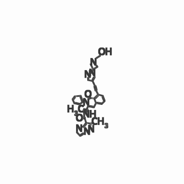 Cc1nn2cccnc2c1C(=O)N[C@@H](C)c1cc2cccc(C#Cc3cnn(C4CN(CCO)C4)c3)c2c(=O)n1-c1ccccc1